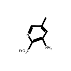 CCOC(=O)c1ncc(C)cc1N